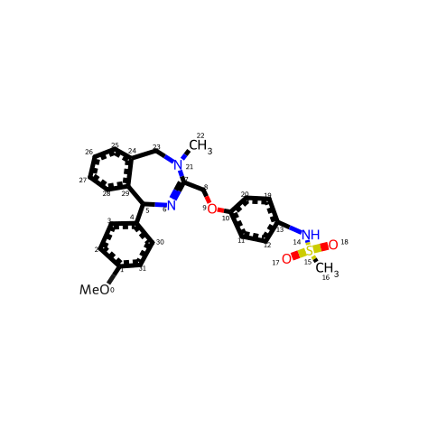 COc1ccc(C2N=C(COc3ccc(NS(C)(=O)=O)cc3)N(C)Cc3ccccc32)cc1